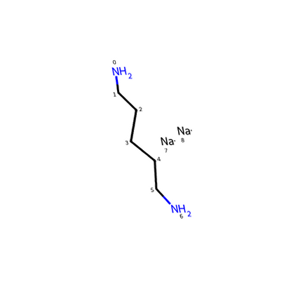 NCCCCCN.[Na].[Na]